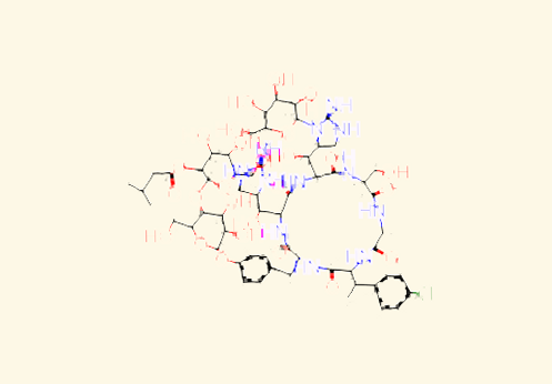 CC(C)CC(=O)OC1C(OC2C(CO)OC(Oc3ccc(CC4NC(=O)C(C(C)c5ccc(Cl)cc5)NC(=O)CNC(=O)C(CO)NC(=O)C(C(O)C5CNC(=N)N5C5OC(CO)C(O)C(O)C5O)NC(=O)C(C(O)C5CNC(=N)N5)NC4=O)cc3)C(O)C2O)OC(CO)C(O)C1O